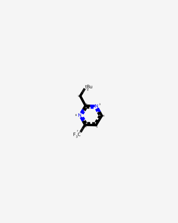 CC(C)(C)Cc1nccc(C(F)(F)F)n1